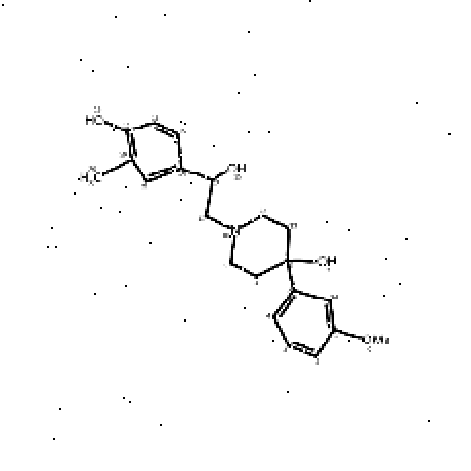 COc1cccc(C2(O)CCN(CC(O)c3ccc(O)c(C)c3)CC2)c1